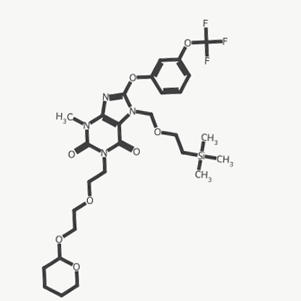 Cn1c(=O)n(CCOCCOC2CCCCO2)c(=O)c2c1nc(Oc1cccc(OC(F)(F)F)c1)n2COCC[Si](C)(C)C